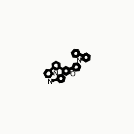 N#Cc1ccccc1N1C2=C(CCC=C2c2ccc3oc4ccc(-n5c6ccccc6c6ccccc65)cc4c3c2)C2C=CCCC21